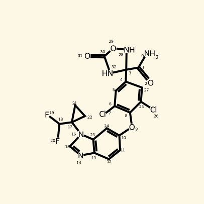 NC(=O)C1(c2cc(Cl)c(Oc3ccc4ncn(C5(C(F)F)CC5)c4c3)c(Cl)c2)NOC(=O)N1